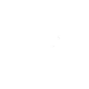 CCO/C=C/c1ccncn1